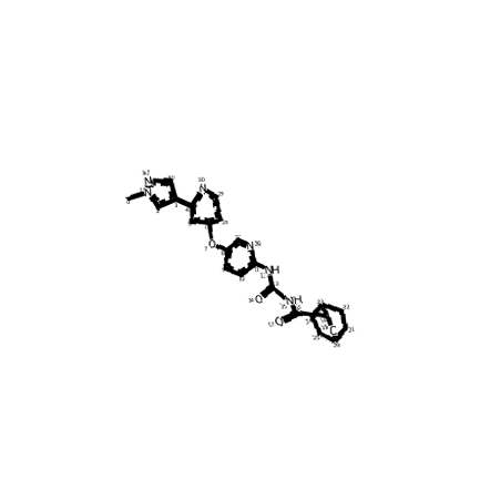 Cn1cc(-c2cc(Oc3ccc(NC(=O)NC(=O)C4CC5CCC4CC5)nc3)ccn2)cn1